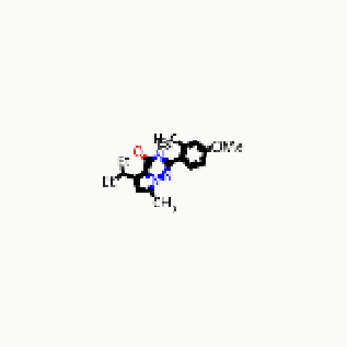 CCC(CC)c1cc(C)n2nc(-c3ccc(OC)cc3C)n(CC)c(=O)c12